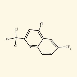 FC(F)(F)c1ccc2nc(C(F)(Cl)Cl)cc(Cl)c2c1